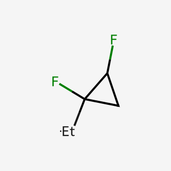 C[CH]C1(F)CC1F